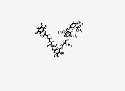 CC(=O)O[C@@H](C)/C=C\C(=O)N[C@@H]1C[C@H](C)[C@H](C/C=C(C)/C=C/[C@H]2O[C@H](CC(=O)NCCCCCC(=O)Oc3c(F)c(F)c(F)c(F)c3F)C[C@@]3(CO3)[C@@H]2O)O[C@@H]1C